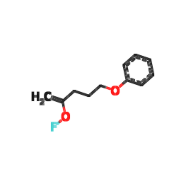 C=C(CCCOc1ccccc1)OF